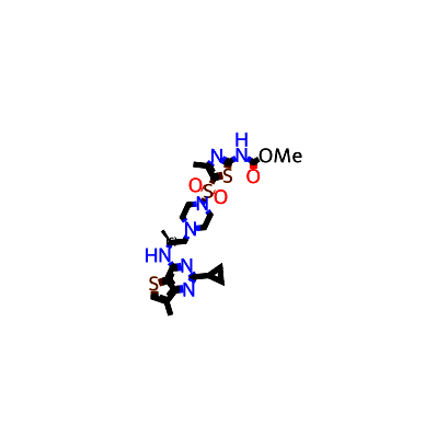 COC(=O)Nc1nc(C)c(S(=O)(=O)N2CCN(C[C@H](C)Nc3nc(C4CC4)nc4c(C)csc34)CC2)s1